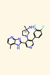 Cc1ccnc2nc(-c3cncc(-c4ccc(F)c(F)c4)c3N3CC[C@](C)(N)C3)[nH]c12